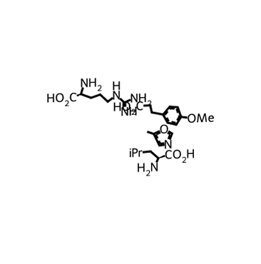 CC(C)C[C@H](N)C(=O)O.COc1ccc(CCC(=O)O)cc1.Cc1cnco1.N=C(N)NCCC[C@H](N)C(=O)O